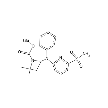 CC(C)(C)OC(=O)N1C(N(c2ccccc2)c2cccc(S(N)(=O)=O)n2)CC1(C)C